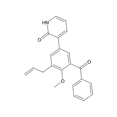 C=CCc1cc(-c2ccc[nH]c2=O)cc(C(=O)c2ccccc2)c1OC